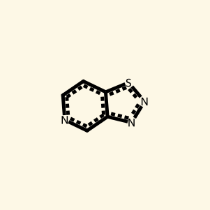 c1cc2snnc2cn1